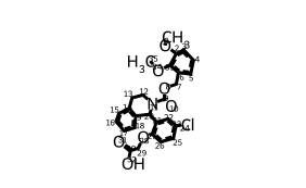 COc1cccc(COC(=O)N2CCc3ccccc3C2c2cc(Cl)ccc2OCC(=O)O)c1OC